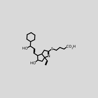 C=CC12CC(O)C(C=CC(O)C3CCCCC3)C1CC(SCCCC(=O)O)=N2